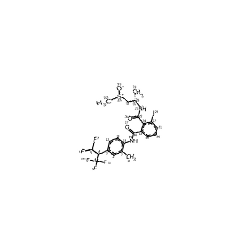 Cc1cc(C(C(F)F)C(F)(F)F)ccc1NC(=O)c1cccc(I)c1C(=O)N[C@@H](C)C[S+](C)[O-]